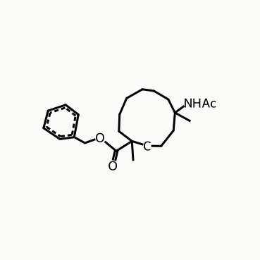 CC(=O)NC1(C)CCCCCCC(C)(C(=O)OCc2ccccc2)CCC1